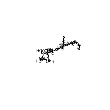 CCCCCC(=O)N[C@@H](CCCCCNC(=O)CC(C)(C)COCC(C)(C)COC)C(=O)NCCOCCNC(=O)CCC(C(=O)O)N1CCN(CC(=O)O)CCN(CC(=O)O)CCN(CC(=O)O)CC1